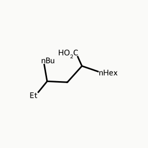 CCCCCCC(CC(CC)CCCC)C(=O)O